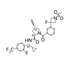 C#C[C@@H]1C[C@H](C(=O)N[C@@H](c2ccc(C(F)(F)F)cc2F)C2CC2)N(C(=O)c2cccc(C3(F)CN(S(C)(=O)=O)C3)c2)C1